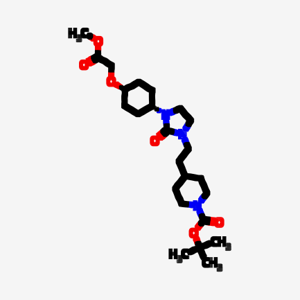 COC(=O)CO[C@H]1CC[C@H](N2CCN(CCC3CCN(C(=O)OC(C)(C)C)CC3)C2=O)CC1